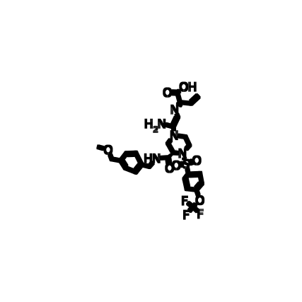 C=C/C(=N\C=C(/N)N1CCN(S(=O)(=O)c2ccc(OC(F)(F)F)cc2)[C@@H](C(=O)NCc2ccc(COC)cc2)C1)C(=O)O